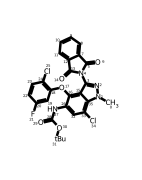 Cn1nc(N2C(=O)c3ccccc3C2=O)c2c(Oc3cc(F)ccc3Cl)c(NC(=O)OC(C)(C)C)cc(Cl)c21